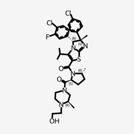 CC(C)C1=C(C(=O)N2[C@H](C)CC[C@H]2C(=O)N2CCN(CCO)[C@H](C)C2)SC2=N[C@@](C)(c3ccc(Cl)cc3)[C@@H](c3ccc(Cl)c(F)c3)N21